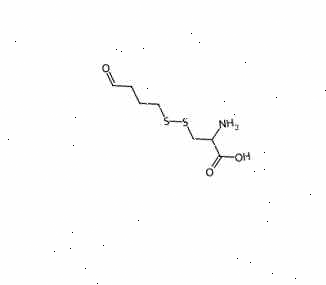 NC(CSSCCCC=O)C(=O)O